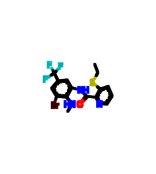 CCSc1cccnc1C(=O)Nc1cc(C(F)(F)F)cc(Br)c1NC